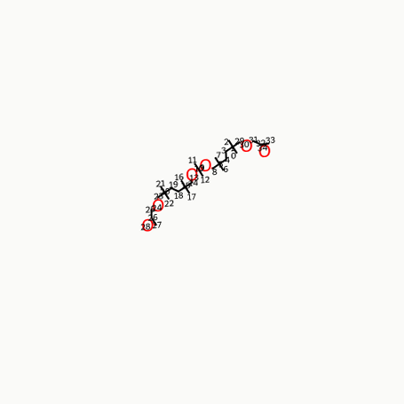 CC(C)(CCC(C)(C)COC(C)(C)OCC(C)(C)CCC(C)(C)COCC1CO1)COCC1CO1